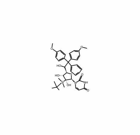 COc1ccc(C(c2ccccc2)(c2ccc(OC)cc2)C(O)[C@H]2S[C@@H](n3ccc(=O)[nH]c3=O)[C@@](O)([Si](C)(C)C(C)(C)C)[C@@H]2O)cc1